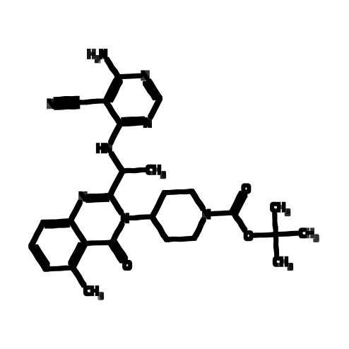 Cc1cccc2nc(C(C)Nc3ncnc(N)c3C#N)n(C3CCN(C(=O)OC(C)(C)C)CC3)c(=O)c12